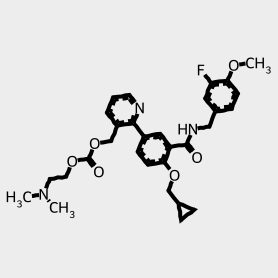 COc1ccc(CNC(=O)c2cc(-c3ncccc3COC(=O)OCCN(C)C)ccc2OCC2CC2)cc1F